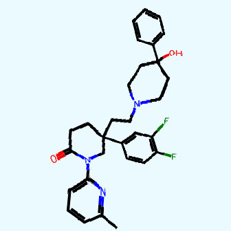 Cc1cccc(N2CC(CCN3CCC(O)(c4ccccc4)CC3)(c3ccc(F)c(F)c3)CCC2=O)n1